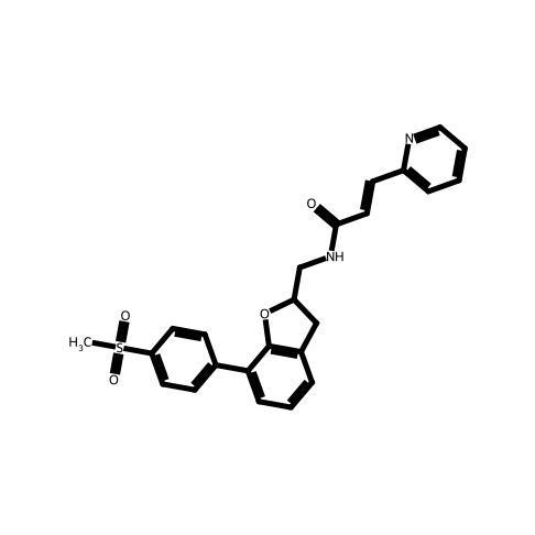 CS(=O)(=O)c1ccc(-c2cccc3c2OC(CNC(=O)C=Cc2ccccn2)C3)cc1